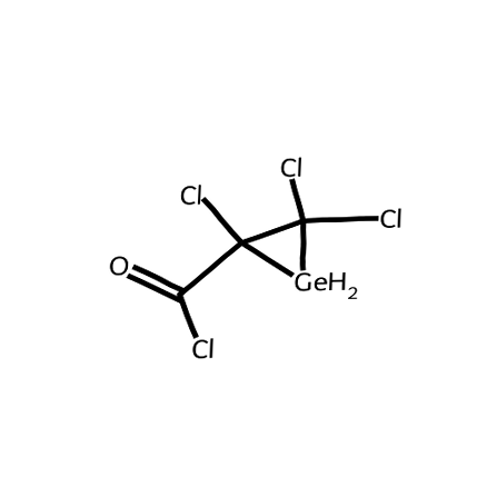 O=C(Cl)[C]1(Cl)[GeH2][C]1(Cl)Cl